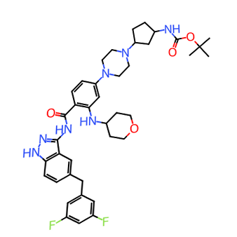 CC(C)(C)OC(=O)NC1CCC(N2CCN(c3ccc(C(=O)Nc4n[nH]c5ccc(Cc6cc(F)cc(F)c6)cc45)c(NC4CCOCC4)c3)CC2)C1